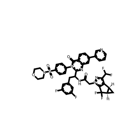 O=C(Cn1nc(C(F)F)c2c1C(F)(F)[C@@H]1C[C@H]21)NC(Cc1cc(F)cc(F)c1)c1nc2cc(-c3cccnc3)ccc2c(=O)n1-c1ccc(S(=O)(=O)N2CCOCC2)cc1